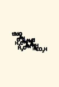 C/C(=N\C(=O)OC(C)(C)C)c1nc(Cl)c(NCC(=O)O)nc1C